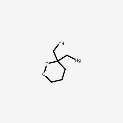 [Hg][CH2]C1([CH2][Hg])CCCOO1